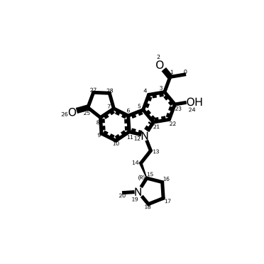 CC(=O)c1cc2c3c4c(ccc3n(CC[C@H]3CCCN3C)c2cc1O)C(=O)CC4